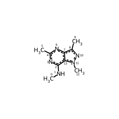 CNc1nc(C)nc2c(C)nn(C)c12